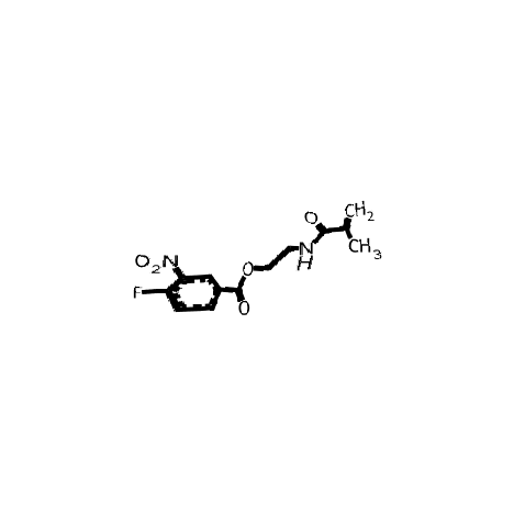 C=C(C)C(=O)NCCOC(=O)c1ccc(F)c([N+](=O)[O-])c1